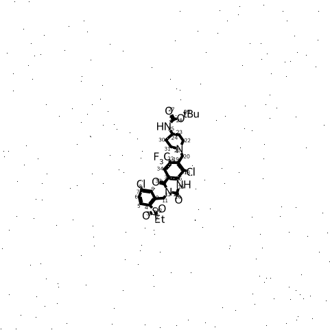 CCS(=O)(=O)c1ccc(Cl)cc1Cn1c(=O)[nH]c2c(Cl)c(CN3CCC(NC(=O)OC(C)(C)C)CC3)c(C(F)(F)F)cc2c1=O